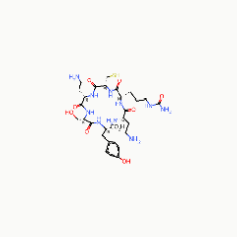 NCC[C@H](NC(=O)[C@H](CS)NC(=O)[C@H](CCCNC(N)=O)NC(=O)[C@@H](N)CCN)C(=O)N[C@@H](CO)C(=O)N[C@@H](Cc1ccc(O)cc1)C(=O)O